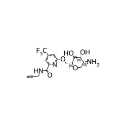 C#CCNC(=O)c1cc(C(F)(F)F)cc(OC[C@H]2OC[C@H](N)[C@@H](O)[C@H]2O)n1